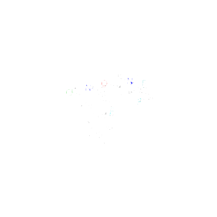 Cc1ccc(-c2cc(Cl)nc3c2CCC(CN(C)CC(C)(F)F)O3)c(F)c1